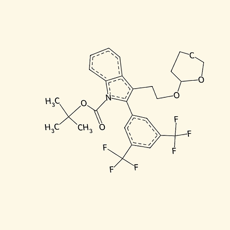 CC(C)(C)OC(=O)n1c(-c2cc(C(F)(F)F)cc(C(F)(F)F)c2)c(CCOC2CCCCO2)c2ccccc21